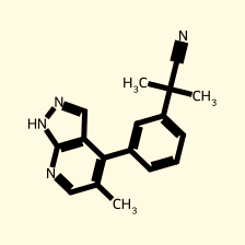 Cc1cnc2[nH]ncc2c1-c1cccc(C(C)(C)C#N)c1